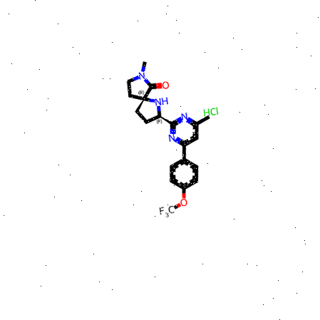 Cc1cc(-c2ccc(OC(F)(F)F)cc2)nc([C@H]2CC[C@]3(CCN(C)C3=O)N2)n1.Cl